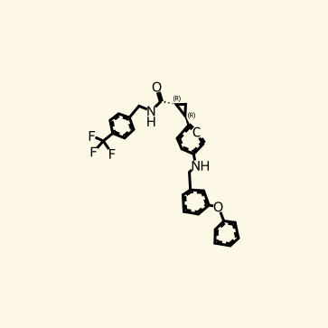 O=C(NCc1ccc(C(F)(F)F)cc1)[C@@H]1C[C@H]1c1ccc(NCc2cccc(Oc3ccccc3)c2)cc1